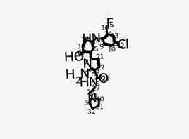 Nc1nc(-c2cc(Nc3ccc(Cl)cc3CF)ccc2O)ccc1C(=O)NCCN1CCCC1